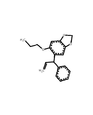 C=CC(c1ccccc1)c1cc2c(cc1OCCC)OCO2